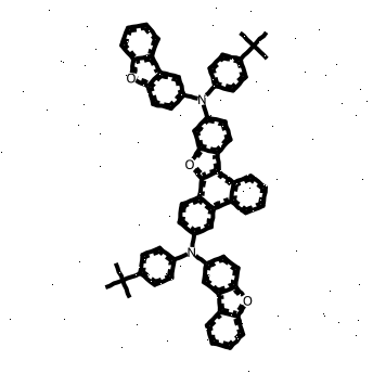 CC(C)(C)c1ccc(N(c2ccc3c(c2)oc2c4ccc(N(c5ccc(C(C)(C)C)cc5)c5ccc6oc7ccccc7c6c5)cc4c4ccccc4c32)c2ccc3oc4ccccc4c3c2)cc1